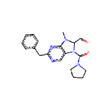 CN1c2nc(Cc3ccccc3)ncc2N(C(=O)N2CCCC2)C1C=O